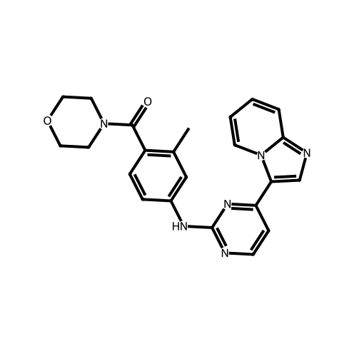 Cc1cc(Nc2nccc(-c3cnc4ccccn34)n2)ccc1C(=O)N1CCOCC1